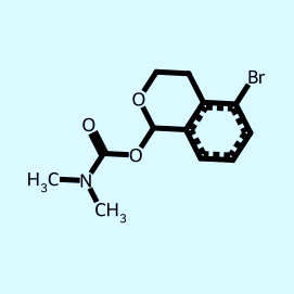 CN(C)C(=O)OC1OCCc2c(Br)cccc21